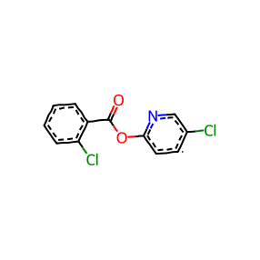 O=C(Oc1c[c]c(Cl)cn1)c1ccccc1Cl